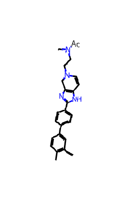 CC(=O)N(C)CCN1C=Cc2[nH]c(-c3ccc(-c4ccc(C)c(C)c4)cc3)nc2C1